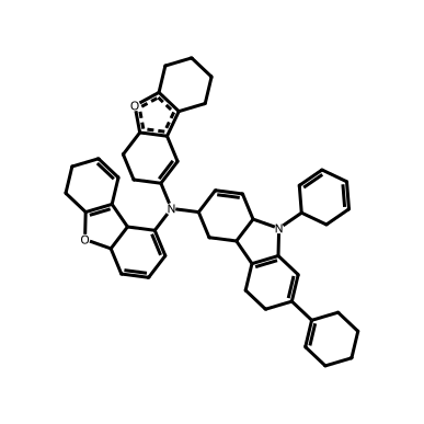 C1=CCC(N2C3=C(CCC(C4=CCCCC4)=C3)C3CC(N(C4=Cc5c(oc6c5CCCC6)CC4)C4=CC=CC5OC6=C(C=CCC6)C45)C=CC32)C=C1